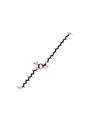 CCCCCCCCCCCCCCCCCCOC(=O)C(C)SC(C)C(=O)OCCCCCCCCCCCC